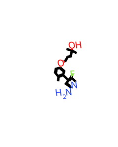 Cc1ccc(OCCCC(C)(C)O)cc1-c1cc(N)ncc1F